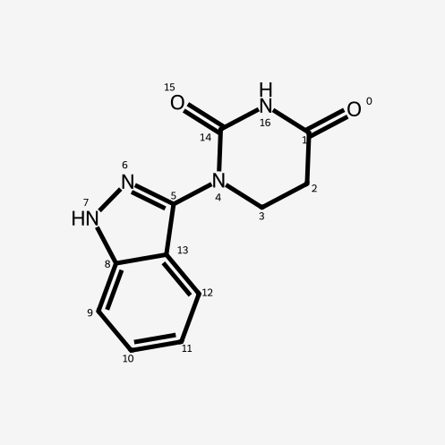 O=C1CCN(c2n[nH]c3ccccc23)C(=O)N1